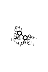 COc1cc(-c2[c]cc(OC)c(OC)c2OC)cc(OC)c1OC